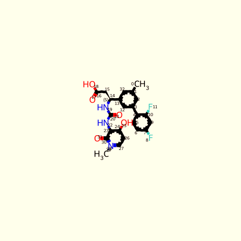 Cc1cc(-c2ccc(F)cc2F)cc([C@H](CC(=O)O)NC(=O)Nc2c(O)ccn(C)c2=O)c1